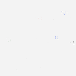 CN(C(N)=O)c1ccc(Cl)c(Cl)c1